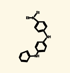 CCN(CC)c1ccc(Nc2ccc(Nc3ccccc3)cc2)cc1